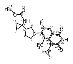 Cc1c(N2CCC(C3(NC(=O)OC(C)(C)C)CC3)C2)c(F)cc2c(=O)[nH]c(=O)n(C3CC3)c12